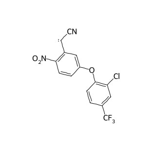 N#C[C]c1cc(Oc2ccc(C(F)(F)F)cc2Cl)ccc1[N+](=O)[O-]